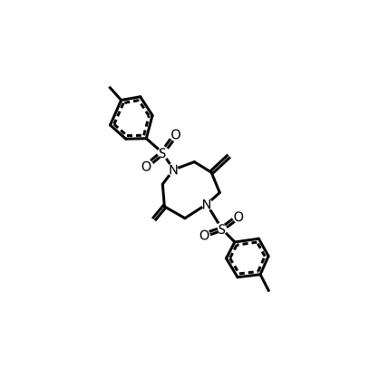 C=C1CN(S(=O)(=O)c2ccc(C)cc2)CC(=C)CN(S(=O)(=O)c2ccc(C)cc2)C1